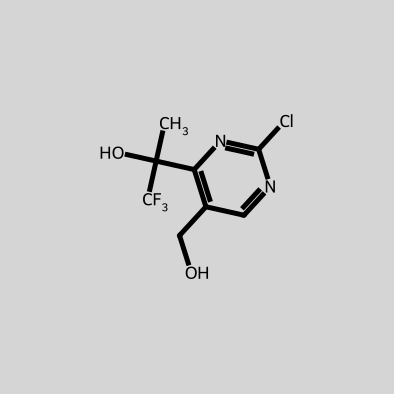 CC(O)(c1nc(Cl)ncc1CO)C(F)(F)F